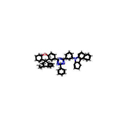 C1=CC2C(CC1)c1c(ccc3ccccc13)N2c1cccc(-c2nc(C3=CC4C(C=C3)OC3=CCCC=C3C43c4ccccc4-c4ccccc43)nc(-c3ccccc3)n2)c1